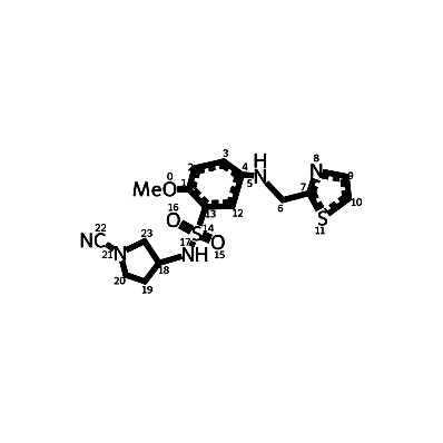 COc1ccc(NCc2nccs2)cc1S(=O)(=O)NC1CCN(C#N)C1